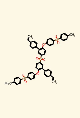 C=Cc1ccc(-c2cc(S(=O)(=O)c3ccc(Oc4ccc(S(=O)(=O)c5ccc(OC)cc5)cc4)c(-c4ccc(C=C)cc4)c3)ccc2Oc2ccc(S(=O)(=O)c3ccc(C)cc3)cc2)cc1